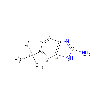 CCC(C)(C)c1ccc2nc(N)[nH]c2c1